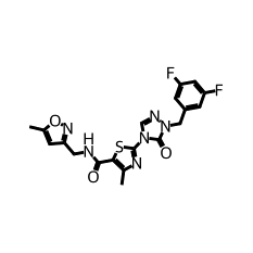 Cc1cc(CNC(=O)c2sc(-n3cnn(Cc4cc(F)cc(F)c4)c3=O)nc2C)no1